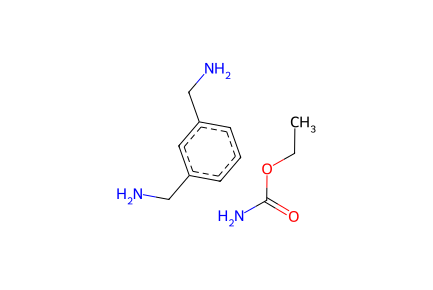 CCOC(N)=O.NCc1cccc(CN)c1